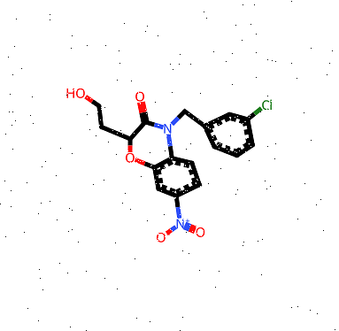 O=C1C(CCO)Oc2cc([N+](=O)[O-])ccc2N1Cc1cccc(Cl)c1